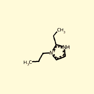 CCC[n+]1cc[nH]c1CC